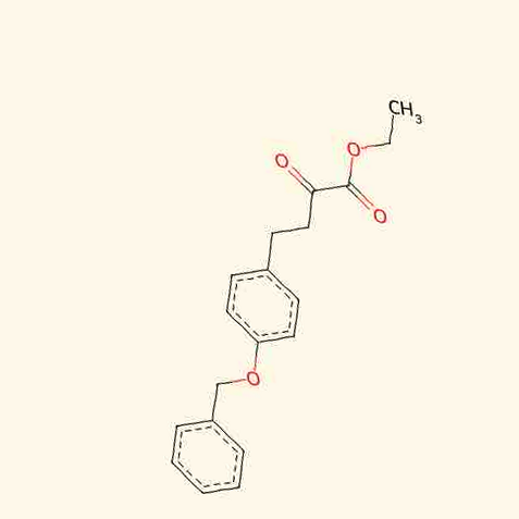 CCOC(=O)C(=O)CCc1ccc(OCc2ccccc2)cc1